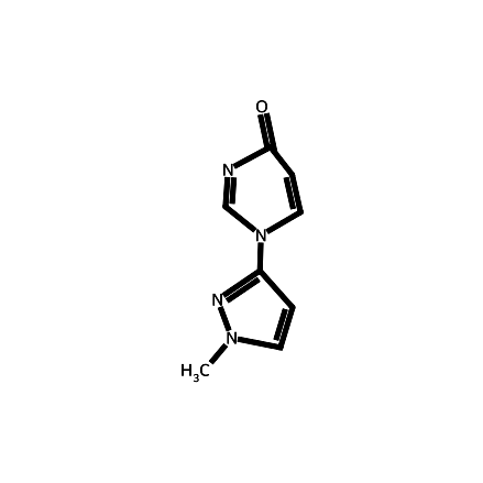 Cn1ccc(-n2ccc(=O)nc2)n1